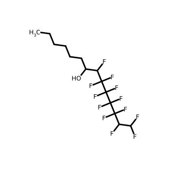 CCCCCCC(O)C(F)C(F)(F)C(F)(F)C(F)(F)C(F)(F)C(F)C(F)F